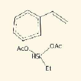 C=Cc1ccccc1.CC[SiH](OC(C)=O)OC(C)=O